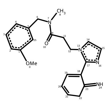 COc1cccc(CN(C)C(=O)CCn2ccnc2C2=CC=CCC2=N)c1